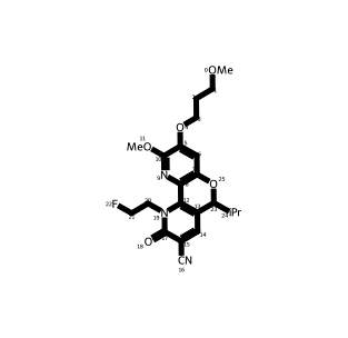 COCCCOc1cc2c(nc1OC)-c1c(cc(C#N)c(=O)n1CCF)C(C(C)C)O2